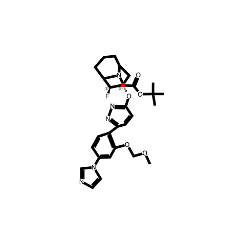 COCOc1cc(-n2ccnc2)ccc1-c1ccc(O[C@H]2CC3CCCC([C@@H]2F)N3CC(=O)OC(C)(C)C)nn1